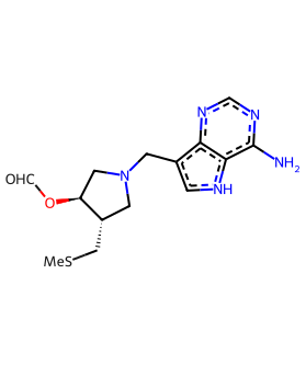 CSC[C@H]1CN(Cc2c[nH]c3c(N)ncnc23)C[C@@H]1OC=O